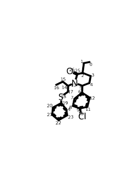 CCC1CCC(c2ccc(Cl)cc2)N(C(CC)CSc2ccccc2)C1=O